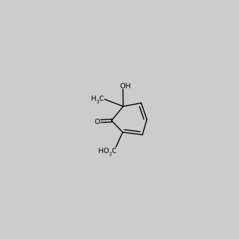 CC1(O)C=CC=C(C(=O)O)C1=O